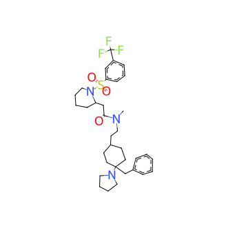 CN(CCC1CCC(Cc2ccccc2)(N2CCCC2)CC1)C(=O)CC1CCCCN1S(=O)(=O)c1cccc(C(F)(F)F)c1